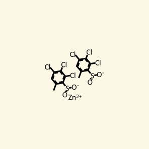 Cc1cc(Cl)c(Cl)c(Cl)c1S(=O)[O-].Cc1cc(Cl)c(Cl)c(Cl)c1S(=O)[O-].[Zn+2]